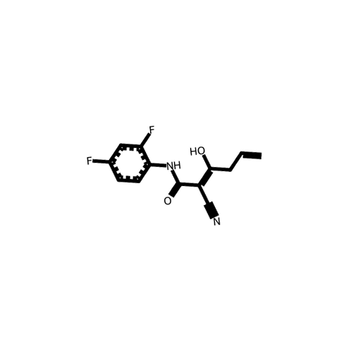 C=CCC(O)=C(C#N)C(=O)Nc1ccc(F)cc1F